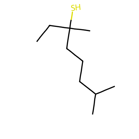 CCC(C)(S)CCCC(C)C